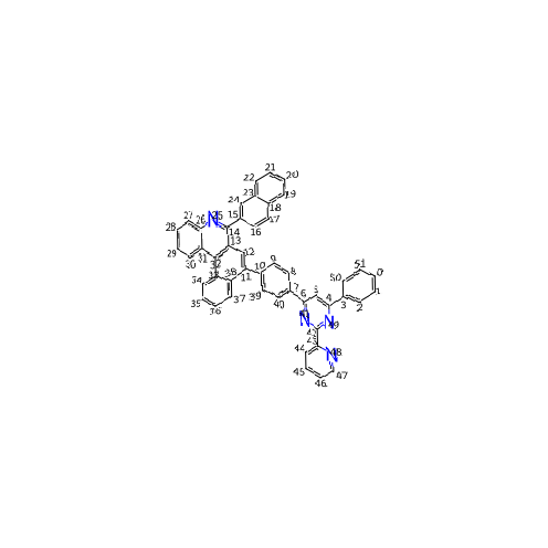 c1ccc(-c2cc(-c3ccc(-c4cc5c(-c6ccc7ccccc7c6)nc6ccccc6c5c5ccccc45)cc3)nc(-c3ccccn3)n2)cc1